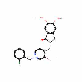 COc1cc2c(cc1OC)C(=O)C(Cc1cc[n+](Cc3ccccc3Cl)cc1Br)C2.[Br-]